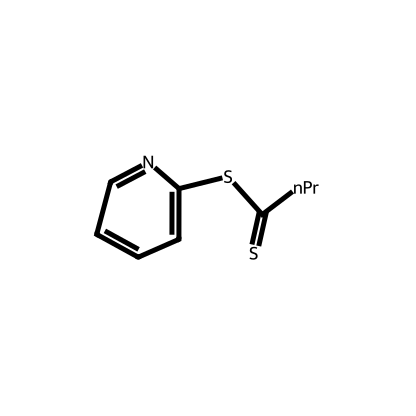 CCCC(=S)Sc1ccccn1